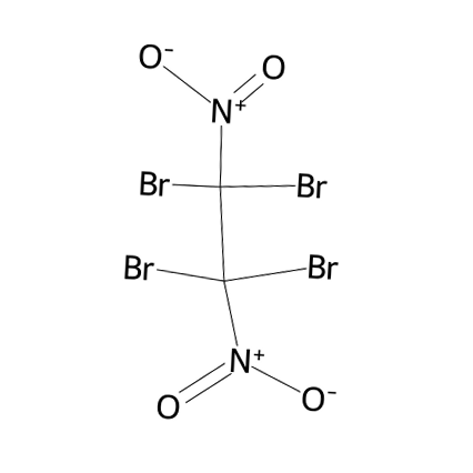 O=[N+]([O-])C(Br)(Br)C(Br)(Br)[N+](=O)[O-]